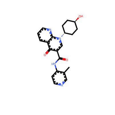 Cc1cnccc1NC(=O)c1cn([C@H]2CC[C@H](O)CC2)c2ncccc2c1=O